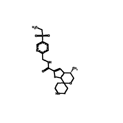 CCS(=O)(=O)c1ccc(CNC(=O)C2=CC3C(S2)C2(CCNCC2)OC[C@H]3C)nc1